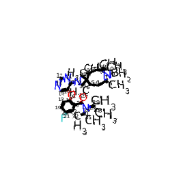 BN1C(C)CC(C)C2(CN(c3ncncc3Oc3ccc(F)cc3C(=O)N(C(C)C)C(C)C)C2)C(C)(C)CC1(C)C